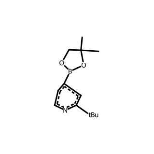 CC1(C)COB(c2ccnc(C(C)(C)C)c2)O1